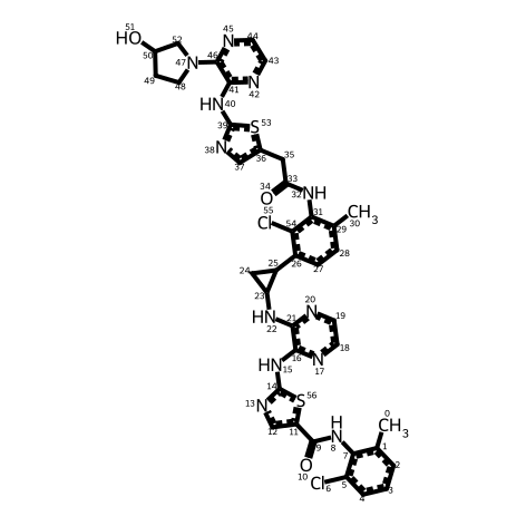 Cc1cccc(Cl)c1NC(=O)c1cnc(Nc2nccnc2NC2CC2c2ccc(C)c(NC(=O)Cc3cnc(Nc4nccnc4N4CCC(O)C4)s3)c2Cl)s1